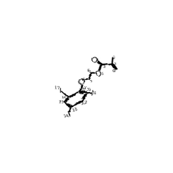 C=C(C)C(=O)OCCOc1c(I)cc(I)cc1I